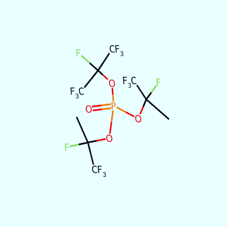 CC(F)(OP(=O)(OC(C)(F)C(F)(F)F)OC(F)(C(F)(F)F)C(F)(F)F)C(F)(F)F